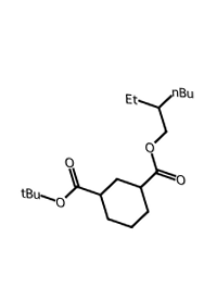 CCCCC(CC)COC(=O)C1CCCC(C(=O)OC(C)(C)C)C1